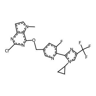 Cn1ccc2nc(Cl)nc(OCc3cnc(-c4nc(C(F)(F)F)cn4C4CC4)c(F)c3)c21